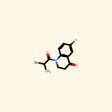 CCC(C)C(C)C(=O)N1CCC(=O)c2cc(Cl)ccc21